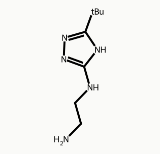 CC(C)(C)c1nnc(NCCN)[nH]1